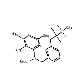 CCOC(=O)N(Cc1cccc(CC(C)(C)[Si](C)(C)O)c1)c1nc(SC)nc(N)c1[N+](=O)[O-]